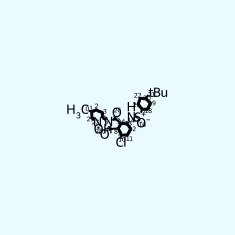 Cc1ccc(N2C(=O)c3c(Cl)ccc(N[S+]([O-])c4ccc(C(C)(C)C)cc4)c3C2=O)[n+](O)c1